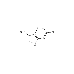 O=Cc1c[nH]c2nc(Cl)cnc12